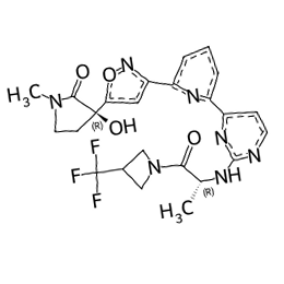 C[C@@H](Nc1nccc(-c2cccc(-c3cc([C@]4(O)CCN(C)C4=O)on3)n2)n1)C(=O)N1CC(C(F)(F)F)C1